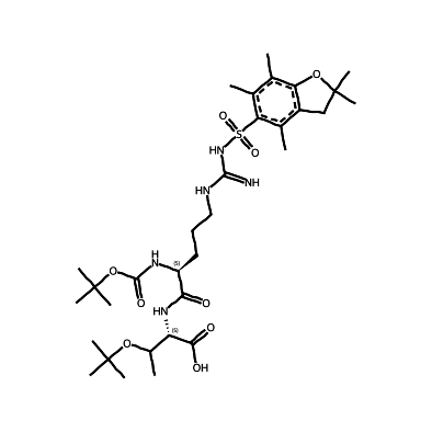 Cc1c(C)c(S(=O)(=O)NC(=N)NCCC[C@H](NC(=O)OC(C)(C)C)C(=O)N[C@H](C(=O)O)C(C)OC(C)(C)C)c(C)c2c1OC(C)(C)C2